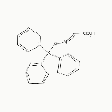 O=C(O)C=NOC(c1ccccc1)(c1ccccc1)c1ccccc1